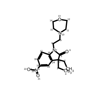 CCC1(CC)C(=O)N(CCN2CCOCC2)c2ccc([N+](=O)[O-])cc21